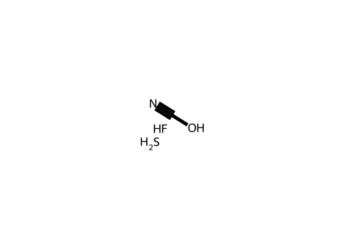 F.N#CO.S